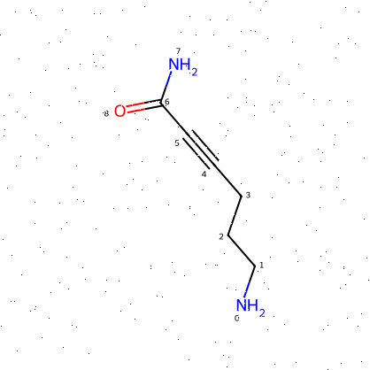 NCCCC#CC(N)=O